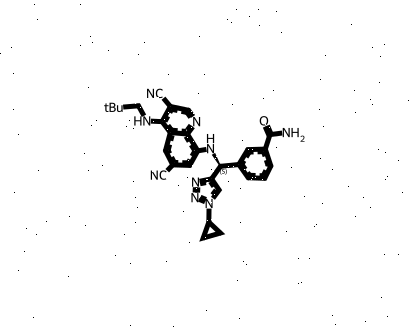 CC(C)(C)CNc1c(C#N)cnc2c(N[C@@H](c3cccc(C(N)=O)c3)c3cn(C4CC4)nn3)cc(C#N)cc12